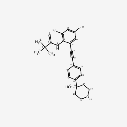 CC(C)(C)C(=O)Nc1c(F)cc(F)cc1C#Cc1ccc(C2(O)CCOCC2)cc1